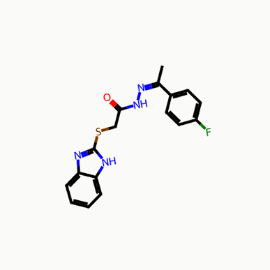 C/C(=N/NC(=O)CSc1nc2ccccc2[nH]1)c1ccc(F)cc1